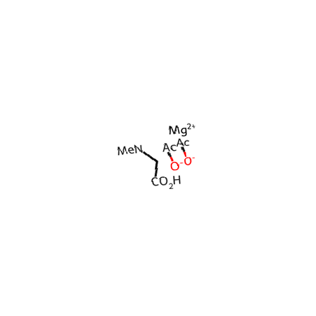 CC(=O)[O-].CC(=O)[O-].CNCC(=O)O.[Mg+2]